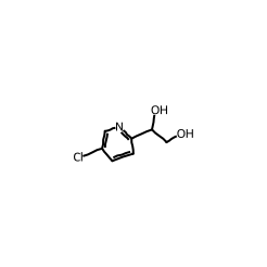 OCC(O)c1ccc(Cl)cn1